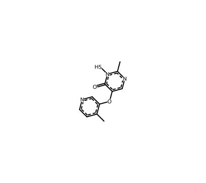 Cc1ccncc1Oc1cnc(C)n(S)c1=O